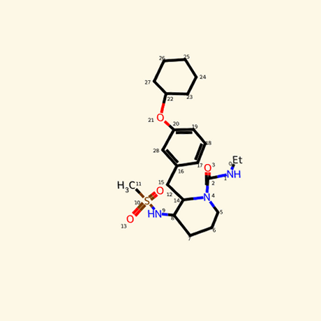 CCNC(=O)N1CCCC(NS(C)(=O)=O)C1Cc1cccc(OC2CCCCC2)c1